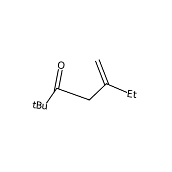 C=C(CC)CC(=O)C(C)(C)C